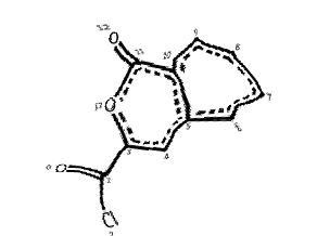 O=C(Cl)c1cc2ccccc2c(=O)o1